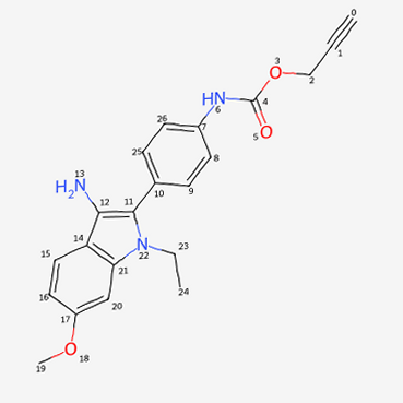 C#CCOC(=O)Nc1ccc(-c2c(N)c3ccc(OC)cc3n2CC)cc1